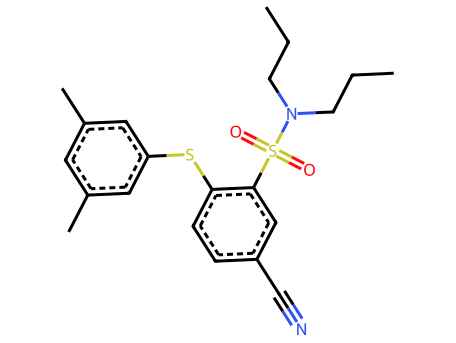 CCCN(CCC)S(=O)(=O)c1cc(C#N)ccc1Sc1cc(C)cc(C)c1